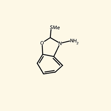 CSC1Oc2ccccc2N1N